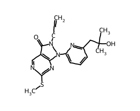 C=CCn1c(=O)c2cnc(SC)nc2n1-c1cccc(CC(C)(C)O)n1